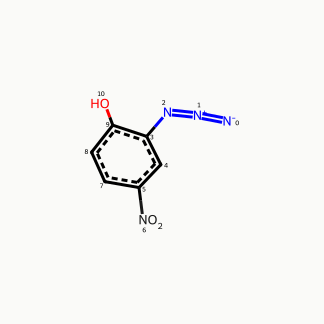 [N-]=[N+]=Nc1cc([N+](=O)[O-])ccc1O